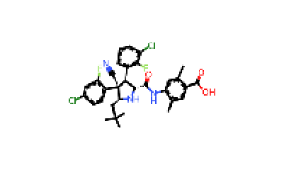 Cc1cc(C(=O)O)c(C)cc1NC(=O)[C@@H]1N[C@@H](CC(C)(C)C)[C@](C#N)(c2ccc(Cl)cc2F)[C@H]1c1cccc(Cl)c1F